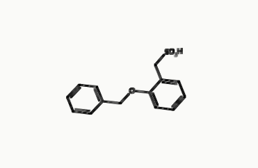 O=S(=O)(O)Cc1ccccc1OCc1ccccc1